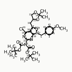 COc1ccc(Cn2nc(CC3COC(C)(C)O3)c3c(Cl)nc(N(C(=O)OC(C)(C)C)C(=O)OC(C)(C)C)nc32)cc1